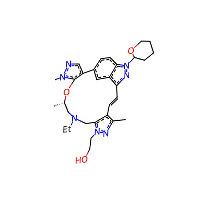 CCN1Cc2c(c(C)nn2CCO)/C=C/c2nn(C3CCCCO3)c3ccc(cc23)-c2cnn(C)c2O[C@@H](C)C1